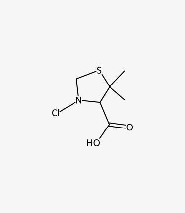 CC1(C)SCN(Cl)C1C(=O)O